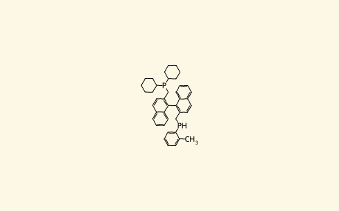 Cc1ccccc1PCc1ccc2ccccc2c1-c1c(CP(C2CCCCC2)C2CCCCC2)ccc2ccccc12